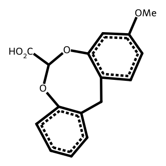 COc1ccc2c(c1)OC(C(=O)O)Oc1ccccc1C2